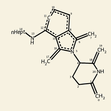 C=C1CCC(n2c(=C)c3cccc(NCCCCCCC)c3c2=C)C(=C)N1